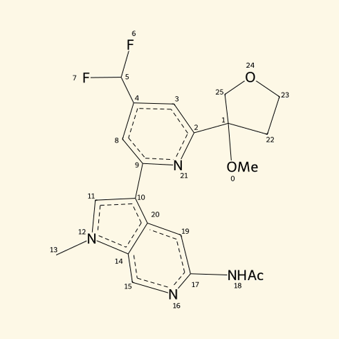 COC1(c2cc(C(F)F)cc(-c3cn(C)c4cnc(NC(C)=O)cc34)n2)CCOC1